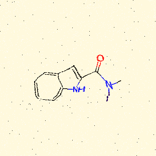 CN(I)C(=O)c1cc2ccccc2[nH]1